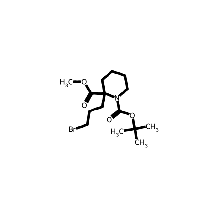 COC(=O)C1(CCCBr)CCCCN1C(=O)OC(C)(C)C